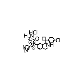 Cl.Cn1cc(S(=O)(=O)N(C(=O)CN)c2ccc3c(c2)C(C2(c4ccc(Cl)cc4)CCC2)NCC3)cn1